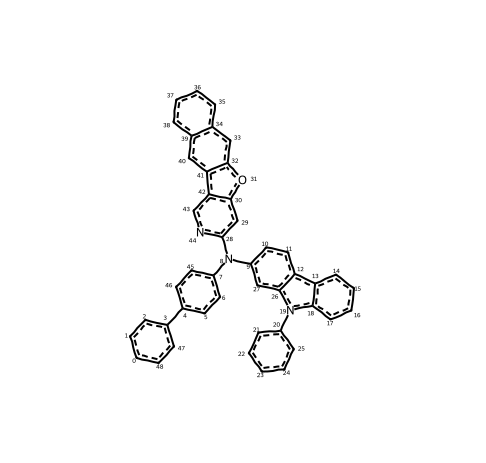 c1ccc(-c2ccc(N(c3ccc4c5ccccc5n(-c5ccccc5)c4c3)c3cc4oc5cc6ccccc6cc5c4cn3)cc2)cc1